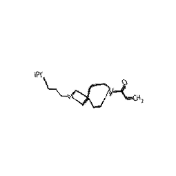 C=CC(=O)N1CCC2(CC1)CN(CCCC(C)C)C2